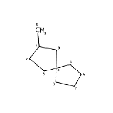 CC1CCC2(CCCC2)C1